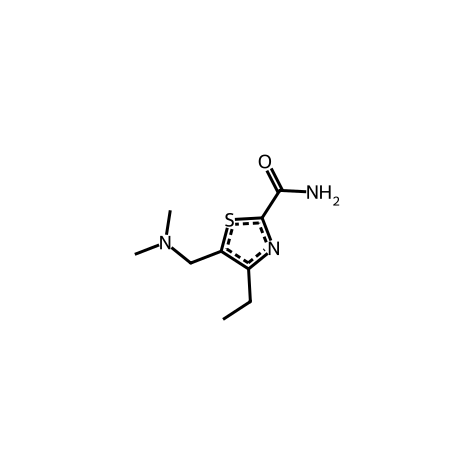 CCc1nc(C(N)=O)sc1CN(C)C